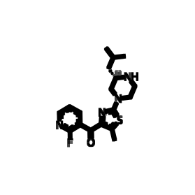 Cc1sc(N2CCN[C@@H](CC(C)C)C2)nc1C(=O)c1cccnc1F